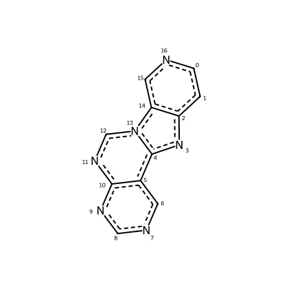 c1cc2nc3c4cncnc4ncn3c2cn1